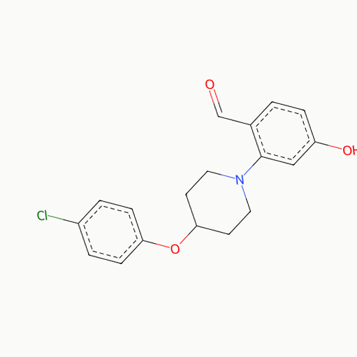 O=Cc1ccc(O)cc1N1CCC(Oc2ccc(Cl)cc2)CC1